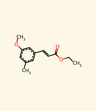 CCOC(=O)C=Cc1cc(C)cc(OC)c1